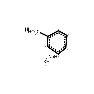 I.O=C(O)c1ccccc1.[KH].[NaH]